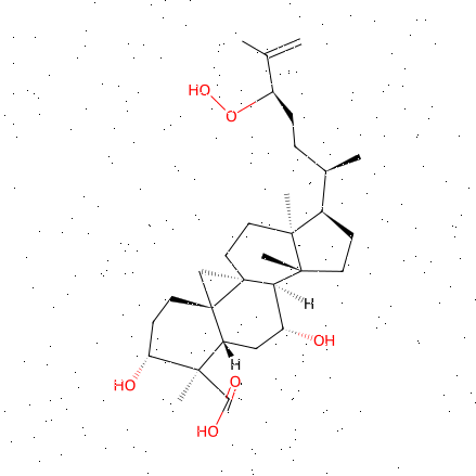 C=C(C)[C@@H](CC[C@@H](C)[C@H]1CC[C@]2(C)[C@H]3[C@H](O)C[C@@H]4[C@@](C)(C(=O)O)[C@H](O)CC[C@]45C[C@]35CC[C@@]12C)OO